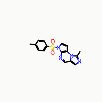 Cc1ccc(S(=O)(=O)n2ccc3c2ncc2cnc(C)n23)cc1